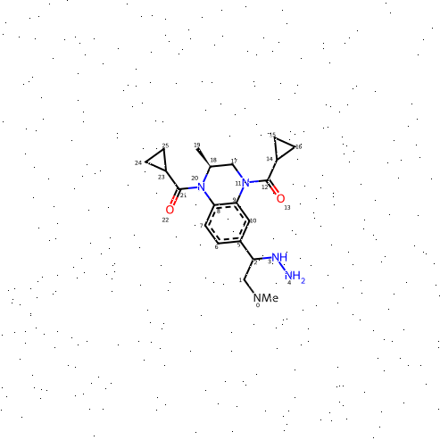 CNCC(NN)c1ccc2c(c1)N(C(=O)C1CC1)C[C@H](C)N2C(=O)C1CC1